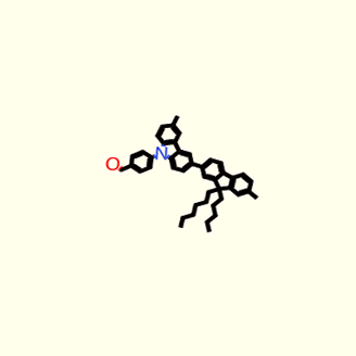 CCCCCCC1(CCCCC)c2cc(C)ccc2-c2ccc(-c3ccc4c(c3)c3cc(C)ccc3n4-c3ccc(C=O)cc3)cc21